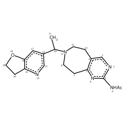 CC(=O)Nc1ncc2c(n1)CCN(C(C)c1cnc3c(c1)OCC3)CC2